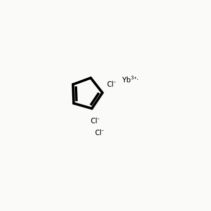 C1=CCC=C1.[Cl-].[Cl-].[Cl-].[Yb+3]